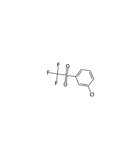 O=S(=O)(c1cccc(Cl)c1)C(F)(F)F